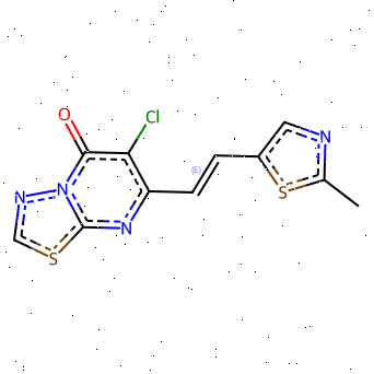 Cc1ncc(/C=C/c2nc3scnn3c(=O)c2Cl)s1